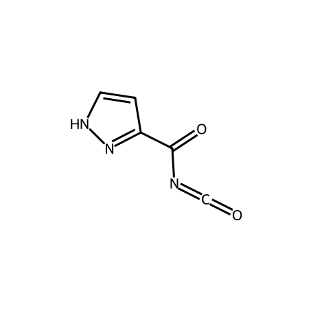 O=C=NC(=O)c1cc[nH]n1